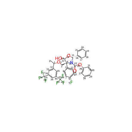 CC(OC[C@@]1(c2ccc(F)cc2)C(O)O[C@H](c2ccccc2)N1C(=O)Oc1ccccc1)c1cc(C(F)(F)F)cc(C(F)(F)F)c1